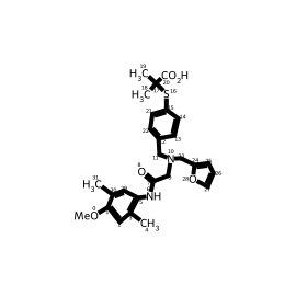 COc1cc(C)c(NC(=O)CN(Cc2ccc(SC(C)(C)C(=O)O)cc2)Cc2ccco2)cc1C